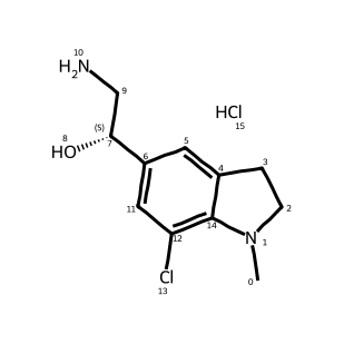 CN1CCc2cc([C@H](O)CN)cc(Cl)c21.Cl